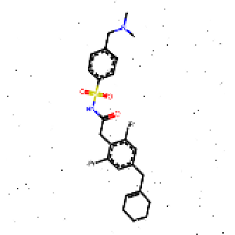 CC(C)c1cc(CC2=CCCCC2)cc(C(C)C)c1CC(=O)NS(=O)(=O)c1ccc(CN(C)C)cc1